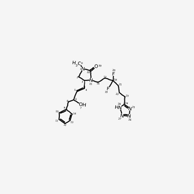 CN1C[C@H](C=CC(O)Cc2ccccc2)N(CCC(F)(F)CCCc2nnn[nH]2)C1=O